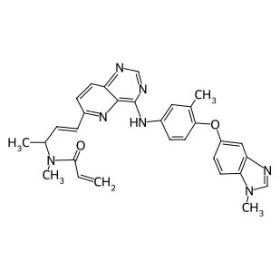 C=CC(=O)N(C)C(C)C=Cc1ccc2ncnc(Nc3ccc(Oc4ccc5c(c4)ncn5C)c(C)c3)c2n1